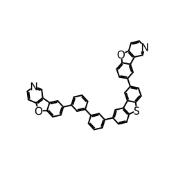 c1cc(-c2cccc(-c3ccc4sc5ccc(-c6ccc7oc8ccncc8c7c6)cc5c4c3)c2)cc(-c2ccc3oc4ccncc4c3c2)c1